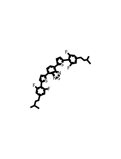 CC(C)CCc1cc(F)c(-c2ccc(-c3ccc(-c4ccc(-c5c(F)cc(CCC(C)C)cc5F)s4)c4nsnc34)s2)c(F)c1